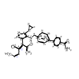 C=C(Cl)/C(=C(Cl)\C=C/C)c1noc(C2CC2)c1NCC12C=CC(c3ccc(C(N)=O)cc3)(CC1)OC2